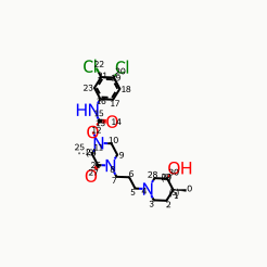 C[C@H]1CCN(CCCN2CCN(OC(=O)Nc3ccc(Cl)c(Cl)c3)[C@@H](C)C2=O)C[C@H]1O